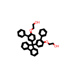 OCCOc1ccc(C2(c3ccc(OCCO)c(-c4ccccc4)c3)c3ccccc3-c3ccccc32)cc1-c1ccccc1